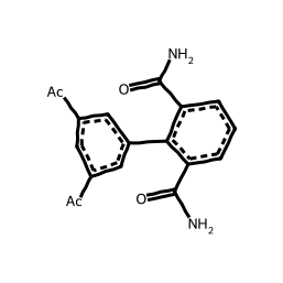 CC(=O)c1cc(C(C)=O)cc(-c2c(C(N)=O)cccc2C(N)=O)c1